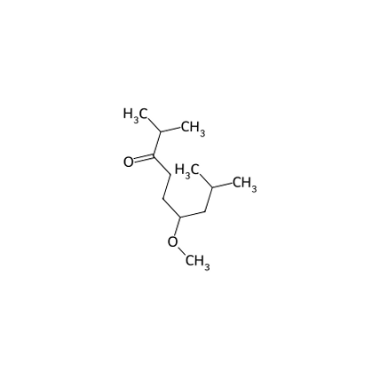 COC(CCC(=O)C(C)C)CC(C)C